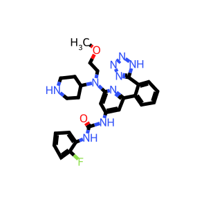 COCCN(c1cc(NC(=O)Nc2ccccc2F)cc(-c2ccccc2-c2nnn[nH]2)n1)C1CCNCC1